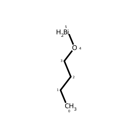 CCCC[O][BiH2]